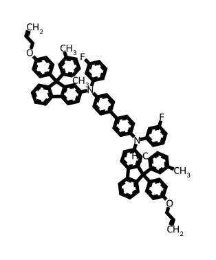 C=CCOc1ccc(C2(c3cc(C)ccc3C)c3ccccc3-c3ccc(N(c4ccc(-c5ccc(N(c6cccc(F)c6)c6ccc7c(c6)C(c6ccc(OCC=C)cc6)(c6cc(C)ccc6C)c6ccccc6-7)cc5)cc4)c4cccc(F)c4)cc32)cc1